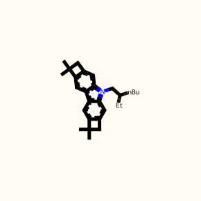 CCCCC(CC)Cn1c2cc3c(cc2c2cc4c(cc21)CC4(C)C)C(C)(C)C3